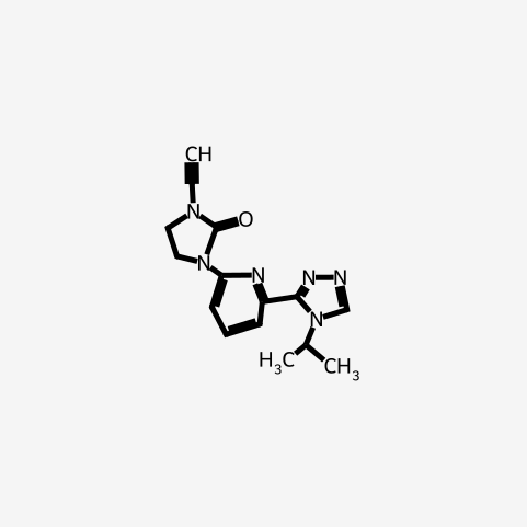 C#CN1CCN(c2cccc(-c3nncn3C(C)C)n2)C1=O